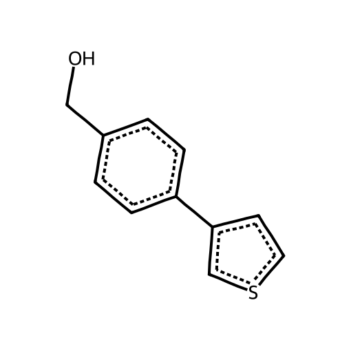 OCc1ccc(-c2ccsc2)cc1